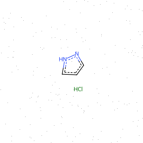 Cl.c1cn[nH]c1